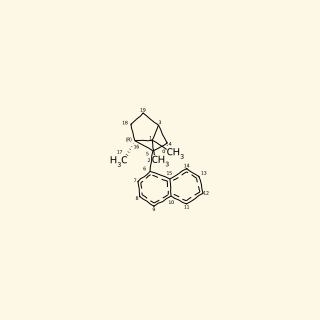 CC1(C)C2[CH]C(c3cccc4ccccc34)[C@@]1(C)CC2